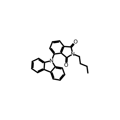 CCCCN1C(=O)c2cccc(-n3c4ccccc4c4ccccc43)c2C1=O